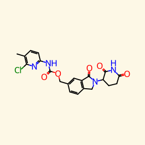 Cc1ccc(NC(=O)OCc2ccc3c(c2)C(=O)N(C2CCC(=O)NC2=O)C3)nc1Cl